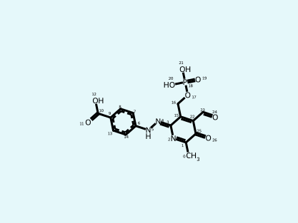 CC1=N/C(=N\Nc2ccc(C(=O)O)cc2)C(COP(=O)(O)O)=C(C=O)C1=O